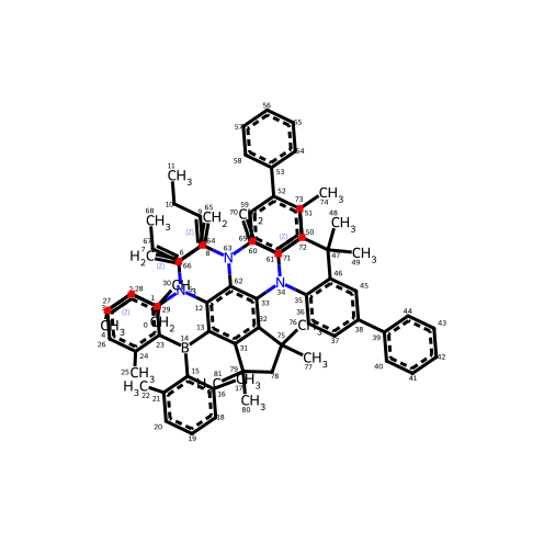 C=C(/C=C\C)N(C(=C)/C=C\CC)c1c(B(c2c(C)cccc2C)c2c(C)cccc2C)c2c(c(N3c4ccc(-c5ccccc5)cc4C(C)(C)c4cc(-c5ccccc5)ccc43)c1N(C(=C)/C=C\C)C(=C)/C=C\CC)C(C)(C)CC2(C)C